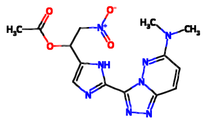 CC(=O)OC(C[N+](=O)[O-])c1cnc(-c2nnc3ccc(N(C)C)nn23)[nH]1